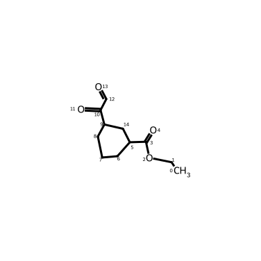 CCOC(=O)C1CCCC(C(=O)C=O)C1